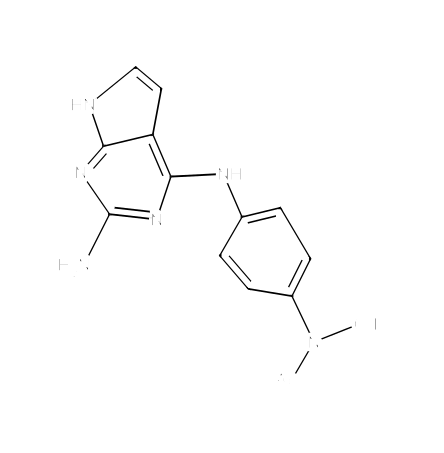 CC(=O)N(C)c1ccc(Nc2nc(N)nc3[nH]ccc23)cc1